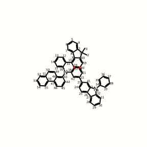 CC1(C)c2ccccc2-c2c(-c3ccccc3N(c3cccc(-c4ccc5c6ccccc6n(-c6ccccc6)c5c4)c3)c3cccc4c3ccc3ccccc34)cccc21